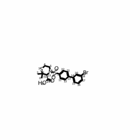 CC1(C)SCCN(S(=O)(=O)c2ccc(-c3cccc(Br)c3)cc2)[C@H]1C(=O)O